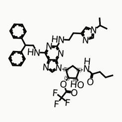 CCCC(=O)N[C@H]1C[C@@H](n2cnc3c(NCC(c4ccccc4)c4ccccc4)nc(NCCc4cn(C(C)C)cn4)nc32)[C@H](OC(=O)C(F)(F)F)[C@@H]1O